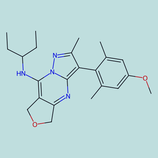 CCC(CC)Nc1c2c(nc3c(-c4c(C)cc(OC)cc4C)c(C)nn13)COC2